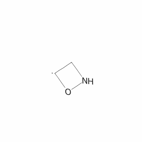 [CH]1CNO1